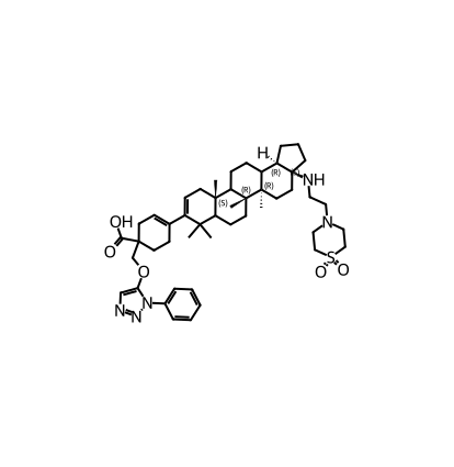 CC1(C)C(C2=CCC(COc3cnnn3-c3ccccc3)(C(=O)O)CC2)=CC[C@@]2(C)C1CC[C@]1(C)C2CCC2[C@H]3CCC[C@]3(NCCN3CCS(=O)(=O)CC3)CC[C@]21C